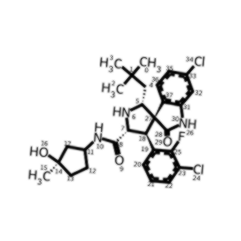 CC(C)(C)C[C@H]1N[C@@H](C(=O)NC2CC[C@@](C)(O)C2)[C@H](c2cccc(Cl)c2F)[C@@]12C(=O)Nc1cc(Cl)ccc12